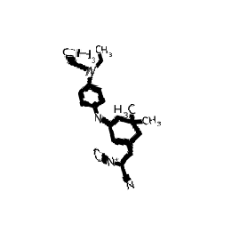 [C-]#[N+]/C(C#N)=C\C1=CC(=N/c2ccc(N(CC)CC)cc2)/CC(C)(C)C1